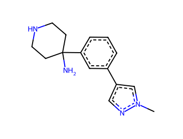 Cn1cc(-c2cccc(C3(N)CCNCC3)c2)cn1